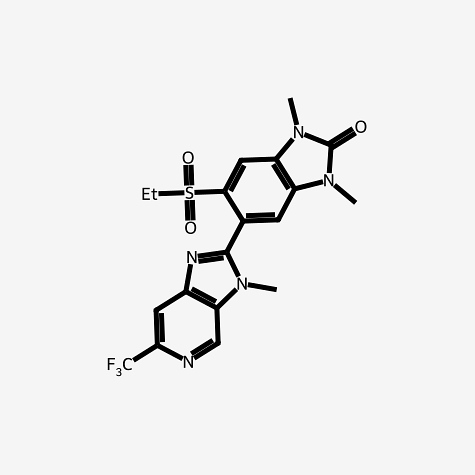 CCS(=O)(=O)c1cc2c(cc1-c1nc3cc(C(F)(F)F)ncc3n1C)n(C)c(=O)n2C